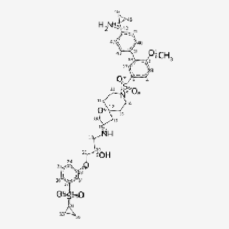 COc1ccc(S(=O)(=O)N2CCC3(CC2)C[C@H](NC[C@H](O)COc2cccc(S(=O)(=O)C4CC4)c2)CO3)cc1-c1ccc(C2(N)CC2)cc1